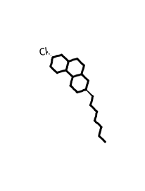 CCCCCCC[C@H]1CCC2C(CCC3C[C@@H](Cl)CCC32)C1